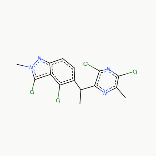 Cc1nc(C(C)c2ccc3nn(C)c(Cl)c3c2Cl)c(Cl)nc1Cl